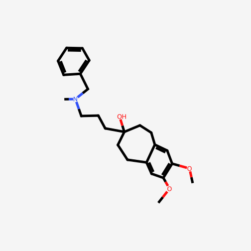 COc1cc2c(cc1OC)CCC(O)(CCCN(C)Cc1ccccc1)CC2